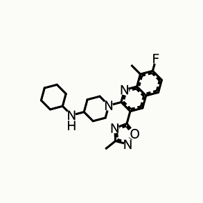 Cc1noc(-c2cc3ccc(F)c(C)c3nc2N2CCC(NC3CCCCC3)CC2)n1